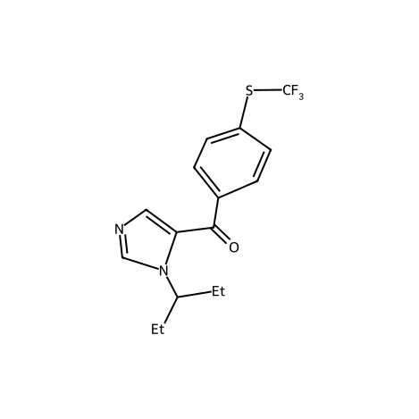 CCC(CC)n1cncc1C(=O)c1ccc(SC(F)(F)F)cc1